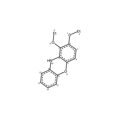 CCOc1ccc2c(c1OCC)Nc1ccccc1O2